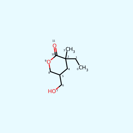 CCC1(C)CC(CO)COC1=O